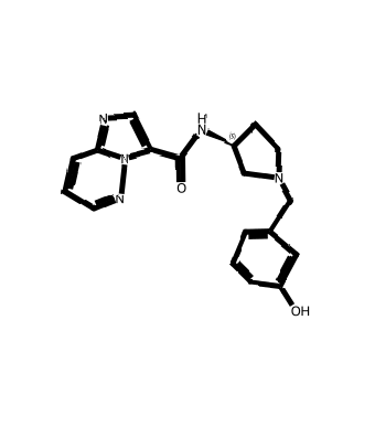 O=C(N[C@H]1CCN(Cc2cccc(O)c2)C1)c1cnc2cccnn12